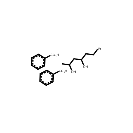 CC(C)CCC(O)CC(C)O.O=C(O)c1ccccc1.O=C(O)c1ccccc1